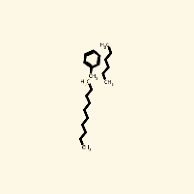 CCCCCC.CCCCCCCCCC.Cc1ccccc1